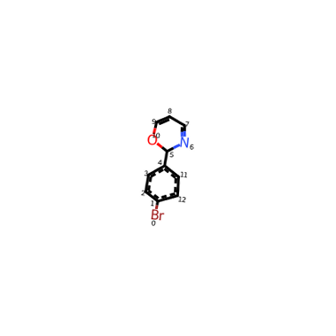 Brc1ccc(C2N=CC=CO2)cc1